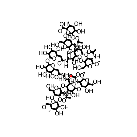 CO[C@@H]1OC(CO)[C@@H](O)[C@H](O[C@@H]2OC(C(=O)NNC(=O)CC3O[C@H](O[C@H]4OC(CC(=O)NNC(=O)C5O[C@@H](O[C@@H]6C(NC(C)=O)[C@H](OC)OC(CO)[C@H]6O)C(O)[C@@H](O)[C@@H]5O[C@@H]5OC(CO)[C@@H](O)[C@H](O[C@@H]6OC(C(=O)O)[C@@H](C)[C@H](O)C6O)C5NC(C)=O)[C@@H](O)[C@H](O)C4O)C(O)[C@@H](O)[C@@H]3O)[C@@H](O[C@@H]3OC(CO)[C@@H](O)[C@H](O[C@@H]4OC(C=O)[C@@H](C)[C@H](O)C4O)C3NC(C)=O)[C@H](O)C2O)C1NC(C)=O